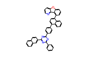 c1ccc(-c2nc(-c3ccc(-c4ccc(-c5cccc6oc7cccnc7c56)c5ccccc45)cc3)nc(-c3ccc4ccccc4c3)n2)cc1